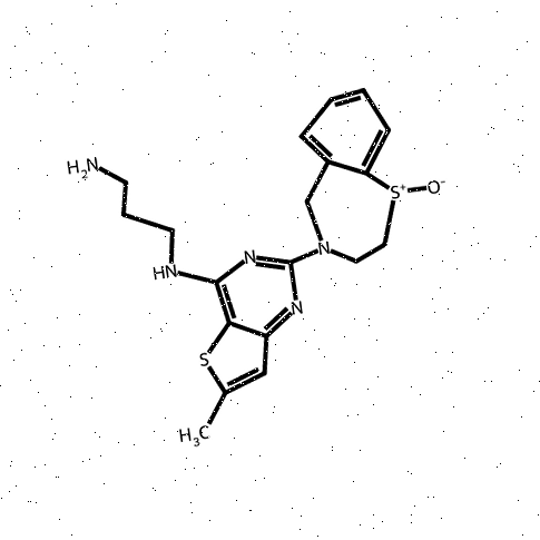 Cc1cc2nc(N3CC[S+]([O-])c4ccccc4C3)nc(NCCCN)c2s1